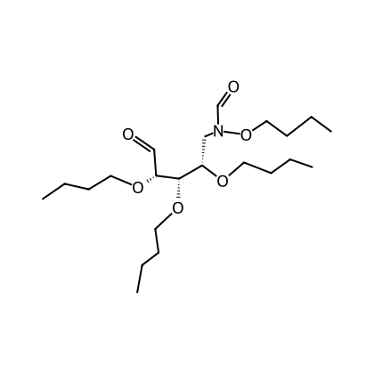 CCCCO[C@@H]([C@H](CN(C=O)OCCCC)OCCCC)[C@@H](C=O)OCCCC